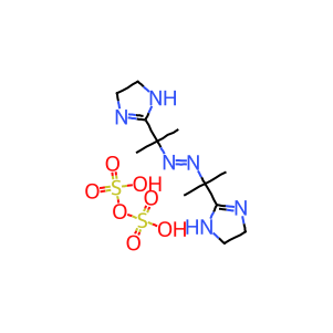 CC(C)(N=NC(C)(C)C1=NCCN1)C1=NCCN1.O=S(=O)(O)OS(=O)(=O)O